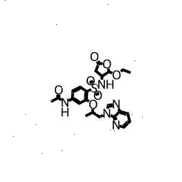 CCOC1OC(=O)CC1NS(=O)(=O)c1ccc(NC(C)=O)cc1OC(C)Cn1cnc2cccnc21